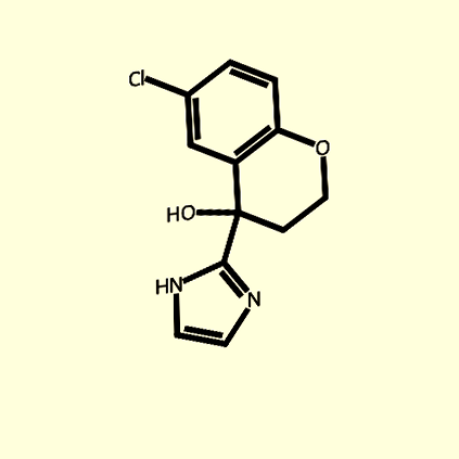 OC1(c2ncc[nH]2)CCOc2ccc(Cl)cc21